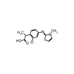 CC(C(=O)O)c1ccc(/N=c2\sccn2C)cc1Cl